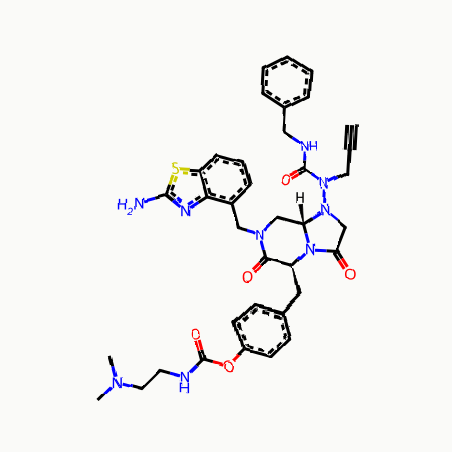 C#CCN(C(=O)NCc1ccccc1)N1CC(=O)N2[C@@H](Cc3ccc(OC(=O)NCCN(C)C)cc3)C(=O)N(Cc3cccc4sc(N)nc34)C[C@@H]21